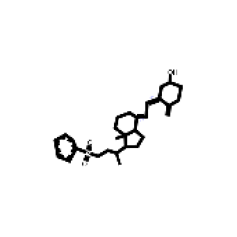 C=C1CCC(O)C/C1=C/C=C1\CCCC2(C)C1CCC2C(C)CCS(=O)(=O)c1ccccc1